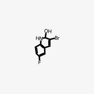 OC1Nc2ccc(F)cc2C=C1Br